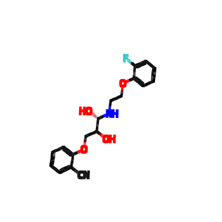 N#Cc1ccccc1OCC(O)[C@H](O)NCCOc1ccccc1F